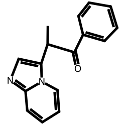 CC(C(=O)c1ccccc1)c1cnc2ccccn12